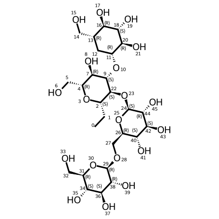 CC[C@@H]1O[C@H](CO)[C@@H](O)[C@H](O[C@@H]2C[C@H](CO)[C@@H](O)[C@H](O)[C@H]2O)[C@H]1O[C@@H]1O[C@H](CO[C@@H]2O[C@H](CO)[C@@H](O)[C@H](O)[C@H]2O)[C@@H](O)[C@H](O)[C@H]1O